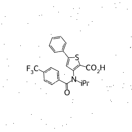 CC(C)N(C(=O)c1ccc(C(F)(F)F)cc1)c1cc(-c2ccccc2)sc1C(=O)O